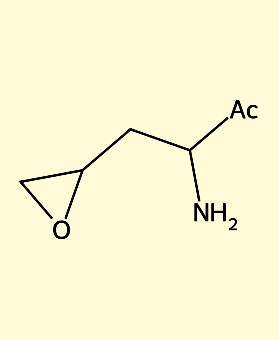 CC(=O)C(N)CC1CO1